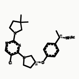 CC(=O)N[C@@H](C)c1ccc(O[C@@H]2CCN(c3nc(N4CCC(C)(C)C4)ncc3Cl)C2)cc1